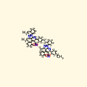 CCc1ccc(-c2nc3c(c(C4CC4)nn3-c3ccccc3CCc3ccc(-c4nc5c(c(C)nn5-c5ccccc5C)c(-c5ccccc5O)c4C#N)cc3)c(-c3ccccc3O)c2C#N)cc1